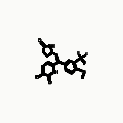 CSc1ccc(C(=C[C@H]2CCC(=O)N2)c2ccc(Cl)c(=O)[nH]2)cc1C(F)(F)F